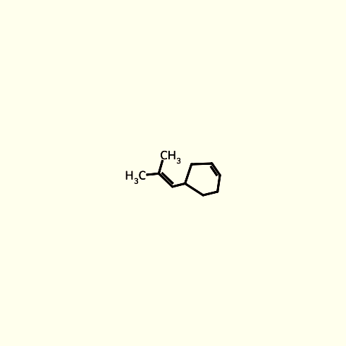 CC(C)=CC1CC=CCC1